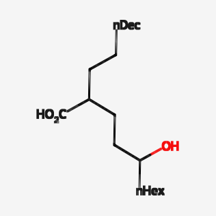 CCCCCCCCCCCCC(CCC(O)CCCCCC)C(=O)O